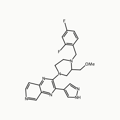 COCC1CN(c2nc3ccncc3nc2-c2cn[nH]c2)CCN1Cc1ccc(F)cc1F